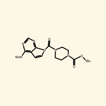 CNc1ncnc2c1ccn2C(=O)N1CCN(C(=O)OC(C)(C)C)CC1